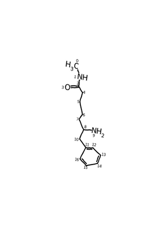 CNC(=O)CCCCC(N)Cc1ccccc1